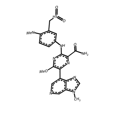 CNc1ccc(Nc2nc(OC)c(-c3cncc4c3ncn4C)nc2C(N)=O)cc1C[SH](=O)=O